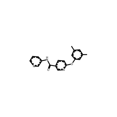 Cc1cc(C)cc(Oc2ccc(C(=O)Nc3cccnc3)cn2)c1